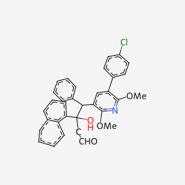 COc1nc(OC)c(C(c2ccccc2)C(O)(CC=O)c2cccc3ccccc23)cc1-c1ccc(Cl)cc1